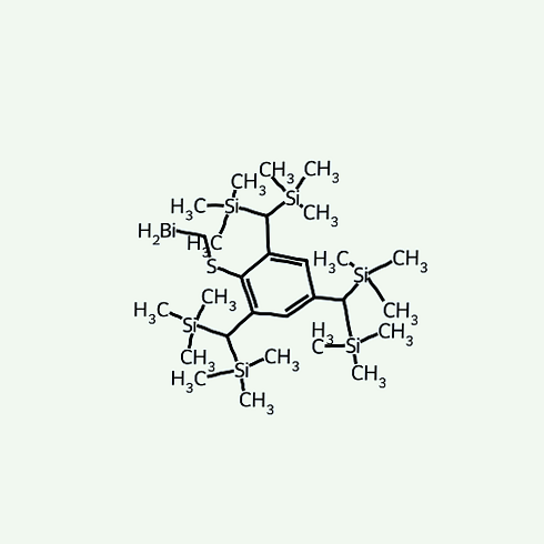 C[Si](C)(C)C(c1cc(C([Si](C)(C)C)[Si](C)(C)C)c(S[CH2][BiH2])c(C([Si](C)(C)C)[Si](C)(C)C)c1)[Si](C)(C)C